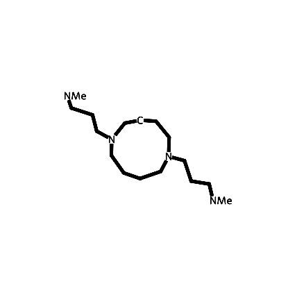 CNCCCN1CCCCN(CCCNC)CCCC1